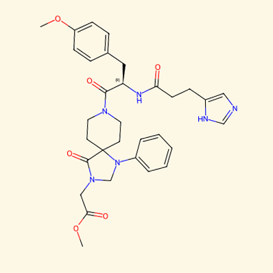 COC(=O)CN1CN(c2ccccc2)C2(CCN(C(=O)[C@@H](Cc3ccc(OC)cc3)NC(=O)CCc3cnc[nH]3)CC2)C1=O